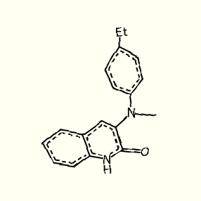 CCc1ccc(N(C)c2cc3ccccc3[nH]c2=O)cc1